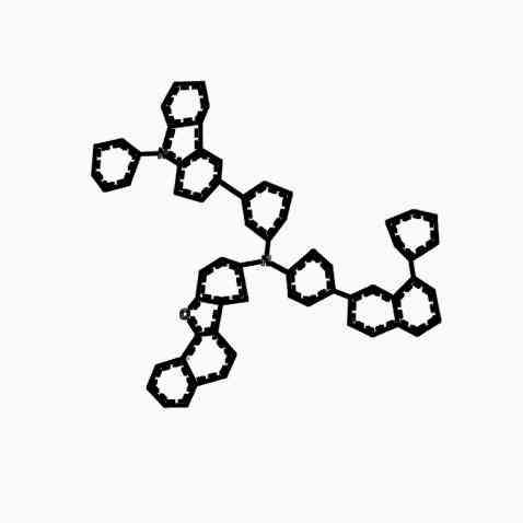 c1ccc(-c2cccc3ccc(-c4ccc(N(c5cccc(-c6ccc7c(c6)c6ccccc6n7-c6ccccc6)c5)c5ccc6oc7c8ccccc8ccc7c6c5)cc4)cc23)cc1